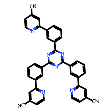 N#Cc1ccnc(-c2cccc(-c3nc(-c4cccc(-c5cc(C#N)ccn5)c4)nc(-c4cccc(-c5cc(C#N)ccn5)c4)n3)c2)c1